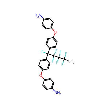 Nc1ccc(Oc2ccc(C(F)(c3ccc(Oc4ccc(N)cc4)cc3)C(F)(F)C(F)(F)C(F)(F)C(F)(F)F)cc2)cc1